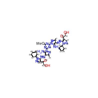 COc1nc(-n2nc(C)c(/N=N/c3c(C(=O)CO)cnn3-c3ccccc3)c2N)nc(-n2nc(C)c(/N=N/c3c(C(=O)CO)cnn3-c3ccccc3)c2N)n1